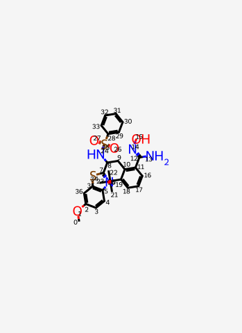 COc1ccc2nc(C(Cc3c(C(N)=NO)cccc3C(C)(C)C)NS(=O)(=O)c3ccccc3)sc2c1